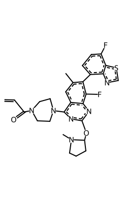 C=CC(=O)N1CCN(c2nc(OC3CCCN3C)nc3c(F)c(-c4ccc(F)c5scnc45)c(C)cc23)CC1